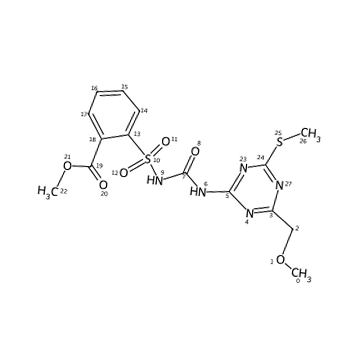 COCc1nc(NC(=O)NS(=O)(=O)c2ccccc2C(=O)OC)nc(SC)n1